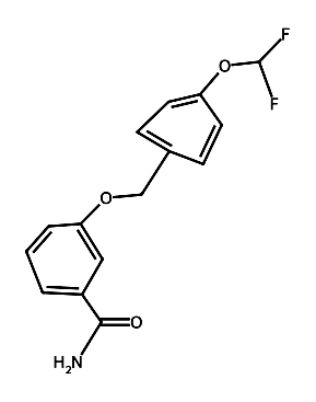 NC(=O)c1cccc(OCc2ccc(OC(F)F)cc2)c1